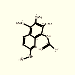 CCCNc1ccc2c(OC)c(OC)c(OC)c(OC(=O)CCC)c2c1